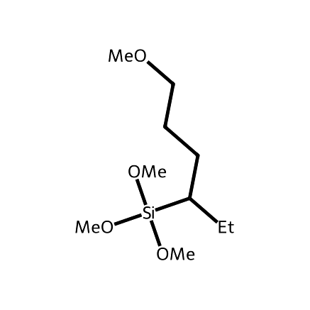 CCC(CCCOC)[Si](OC)(OC)OC